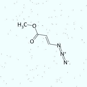 COC(=O)/C=C/N=[N+]=[N-]